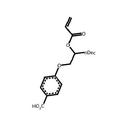 C=CC(=O)OC(CCCCCCCCCC)COc1ccc(C(=O)O)cc1